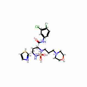 O=C(Nc1ccc(F)c(Cl)c1)[C@H]1C[C@@H](c2nccs2)NS(=O)(=O)N1CCCN1CCOCC1